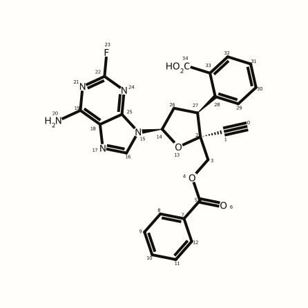 C#C[C@]1(COC(=O)c2ccccc2)O[C@@H](n2cnc3c(N)nc(F)nc32)C[C@H]1c1ccccc1C(=O)O